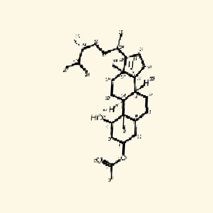 CC(=O)OC1CC(O)[C@@]2(C)C(CC[C@@H]3[C@@H]2CC[C@]2(C)[C@@H]([C@H](C)CC[C@@H](C)C(C)C)CC[C@@H]32)C1